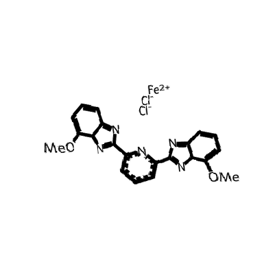 COC1=CC=CC2=NC(c3cccc(C4=NC5C(OC)=CC=CC5=N4)n3)=NC12.[Cl-].[Cl-].[Fe+2]